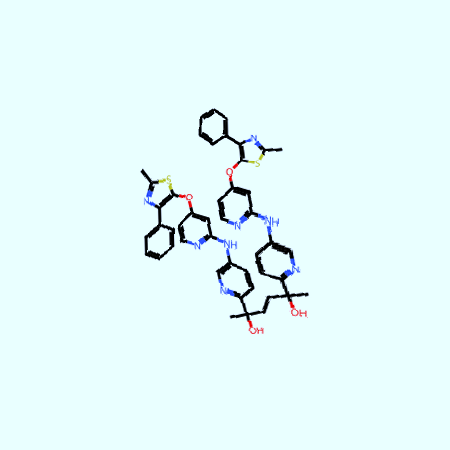 Cc1nc(-c2ccccc2)c(Oc2ccnc(Nc3ccc(C(C)(O)CCC(C)(O)c4ccc(Nc5cc(Oc6sc(C)nc6-c6ccccc6)ccn5)cn4)nc3)c2)s1